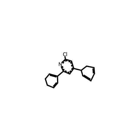 Clc1cc(C2C=CC=CC2)cc(C2=CCCC=C2)n1